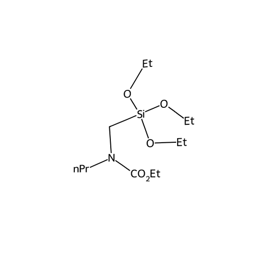 CCCN(C[Si](OCC)(OCC)OCC)C(=O)OCC